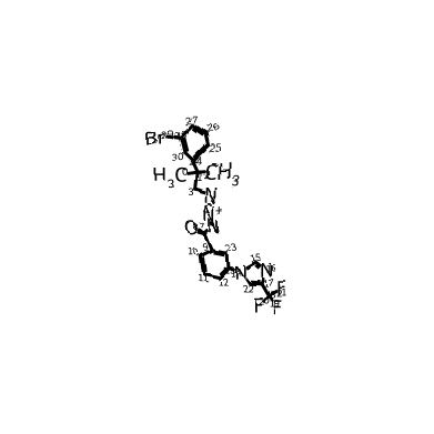 CC(C)(CN=[N+]=NC(=O)c1cccc(-n2cnc(C(F)(F)F)c2)c1)c1cccc(Br)c1